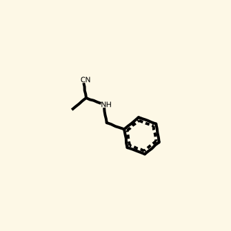 CC(C#N)NCc1ccccc1